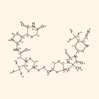 CC1(C)C(=O)N(c2cnc(C#N)c(C(F)(F)F)c2)C(=S)N1[C@H]1CC[C@H](OCCN2CCN(CC(=O)Nc3cc(C4CCC(=O)NC4=O)ccn3)[C@@H](C(F)(F)F)C2)CC1